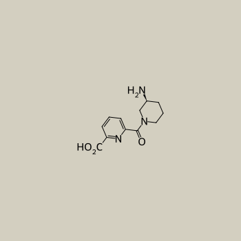 N[C@H]1CCCN(C(=O)c2cccc(C(=O)O)n2)C1